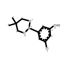 CC1(C)COB(c2cc(Cl)cc(C=O)c2)OC1